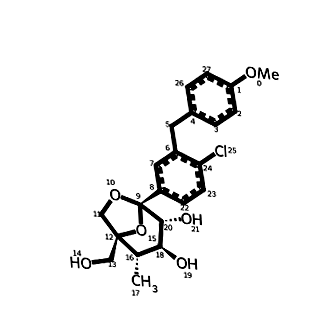 COc1ccc(Cc2cc([C@]34OC[C@](CO)(O3)[C@@H](C)[C@H](O)[C@H]4O)ccc2Cl)cc1